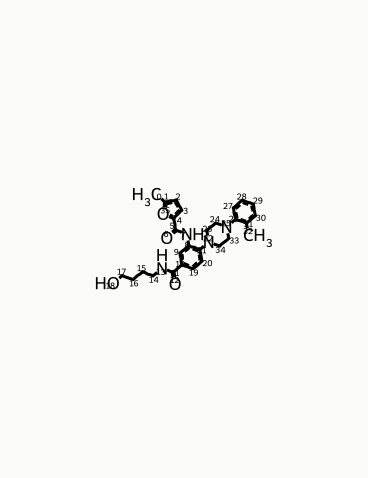 Cc1ccc(C(=O)Nc2cc(C(=O)NCCCCO)ccc2N2CCN(c3ccccc3C)CC2)o1